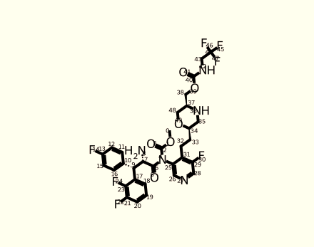 COC(=O)N(C(=O)[C@@H](N)[C@@H](c1ccc(F)cc1)c1cccc(F)c1F)c1cncc(F)c1CC[C@@H]1CN[C@H](COC(=O)NCC(F)(F)F)CO1